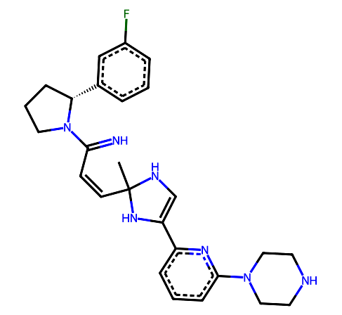 CC1(/C=C\C(=N)N2CCC[C@@H]2c2cccc(F)c2)NC=C(c2cccc(N3CCNCC3)n2)N1